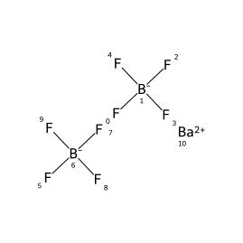 F[B-](F)(F)F.F[B-](F)(F)F.[Ba+2]